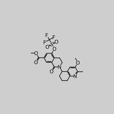 COC(=O)c1cc(OS(=O)(=O)C(F)(F)F)c2c(c1)C(=O)N(C1CCCc3nc(C)c(OC)cc31)CC2